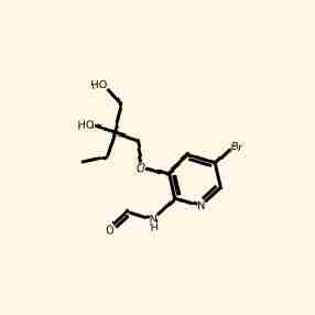 CCC(O)(CO)COc1cc(Br)cnc1NC=O